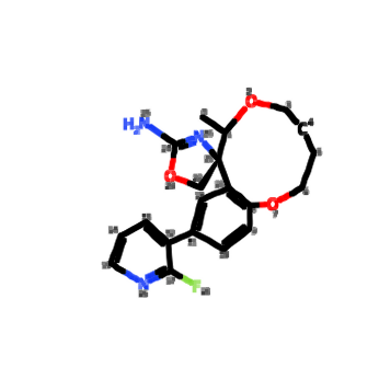 CC1OCCCCOc2ccc(-c3cccnc3F)cc2[C@@]12COC(N)=N2